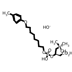 Cc1ccc(OCCCCCCCCOP(=O)(O)O[C@H](CC(=O)O)C[N+](C)(C)C)cc1.[OH-]